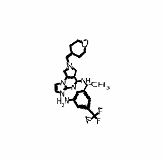 C[C@@H](Nc1nc2nccn2c2c1CN(CC1CCOCC1)C2)c1cc(N)cc(C(F)(F)F)c1